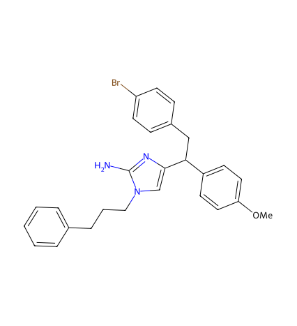 COc1ccc(C(Cc2ccc(Br)cc2)c2cn(CCCc3ccccc3)c(N)n2)cc1